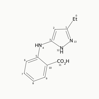 CCc1cc(Nc2ccccc2C(=O)O)[nH]n1